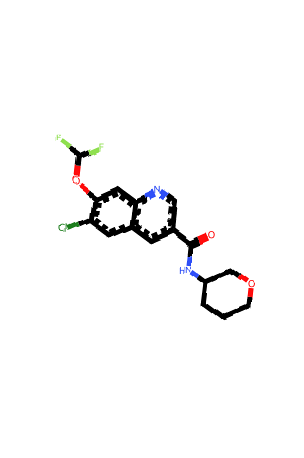 O=C(NC1CCCOC1)c1cnc2cc(OC(F)F)c(Cl)cc2c1